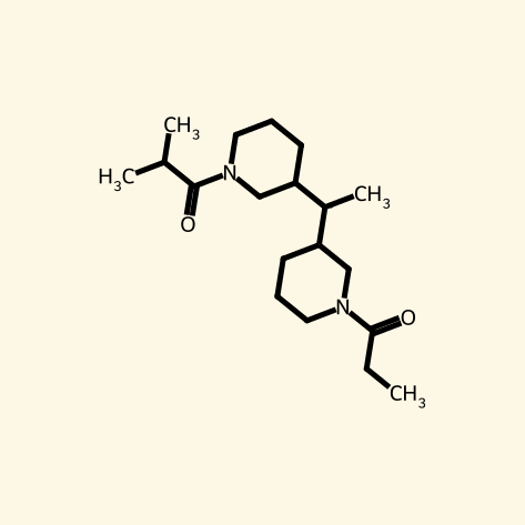 CCC(=O)N1CCCC([C](C)C2CCCN(C(=O)C(C)C)C2)C1